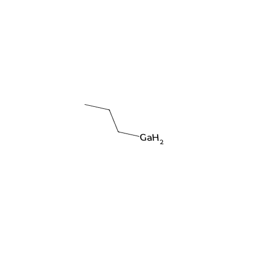 CC[CH2][GaH2]